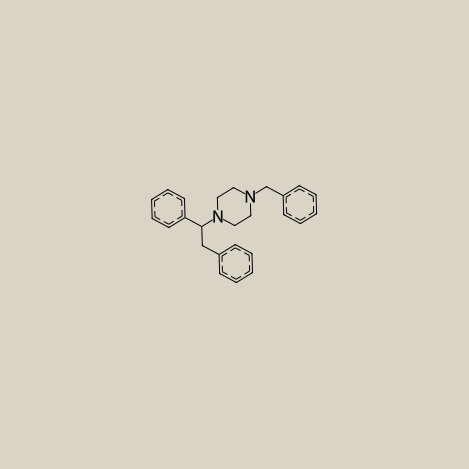 c1ccc(CC(c2ccccc2)N2CCN(Cc3ccccc3)CC2)cc1